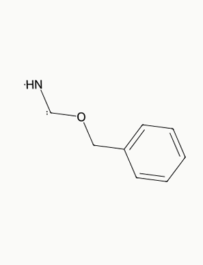 [NH][C]OCc1ccccc1